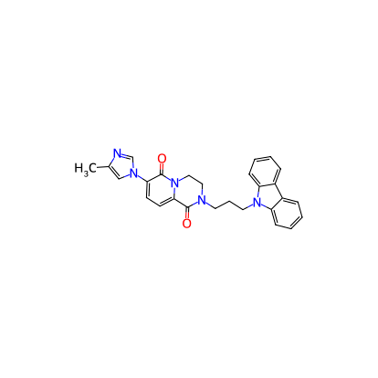 Cc1cn(-c2ccc3n(c2=O)CCN(CCCn2c4ccccc4c4ccccc42)C3=O)cn1